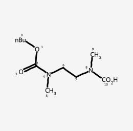 CCCCOC(=O)N(C)CCN(C)C(=O)O